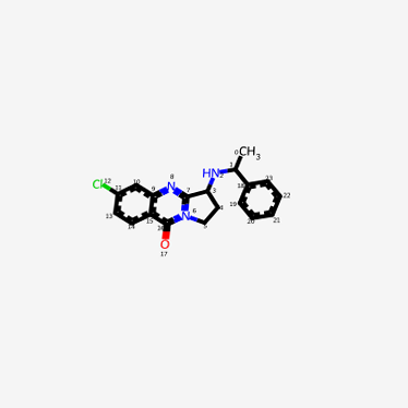 CC(NC1CCn2c1nc1cc(Cl)ccc1c2=O)c1ccccc1